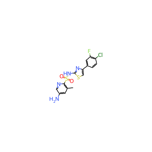 Cc1cc(N)cnc1S(=O)(=O)Nc1nc(-c2ccc(Cl)c(F)c2)cs1